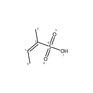 CC=C(C)S(=O)(=O)O